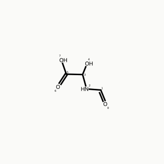 O=CNC(O)C(=O)O